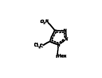 CCCCCCn1nnc([N+](=O)[O-])c1C(Cl)(Cl)Cl